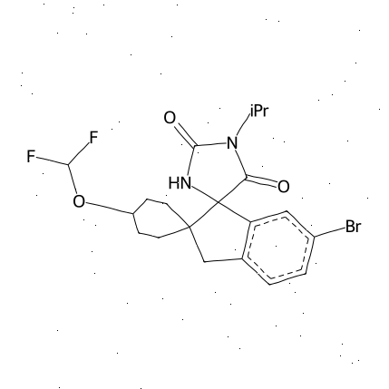 CC(C)N1C(=O)NC2(C1=O)c1cc(Br)ccc1CC21CCC(OC(F)F)CC1